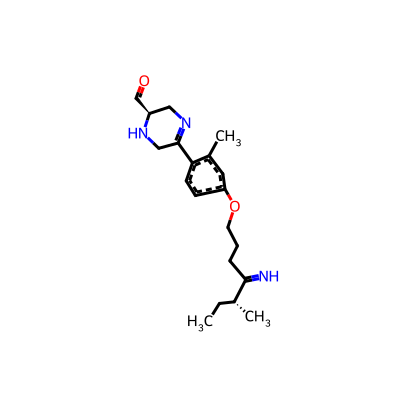 CC[C@@H](C)C(=N)CCCOc1ccc(C2=NC[C@H](C=O)NC2)c(C)c1